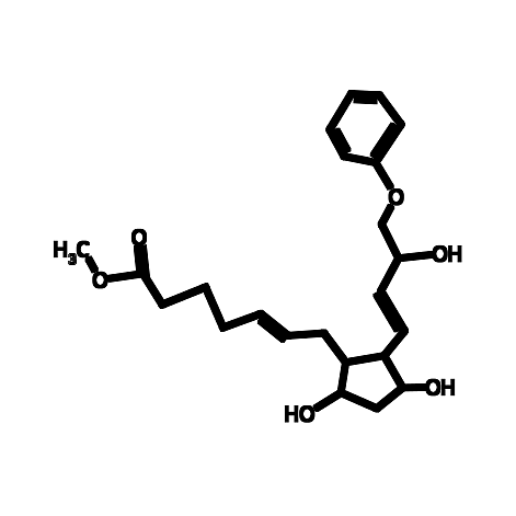 COC(=O)CCC/C=C/CC1C(O)CC(O)C1/C=C/C(O)COc1ccccc1